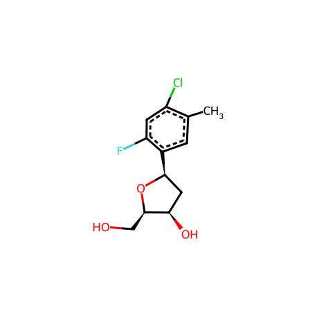 Cc1cc([C@H]2C[C@@H](O)[C@@H](CO)O2)c(F)cc1Cl